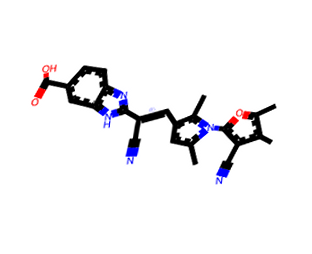 Cc1oc(-n2c(C)cc(/C=C(\C#N)c3nc4ccc(C(=O)O)cc4[nH]3)c2C)c(C#N)c1C